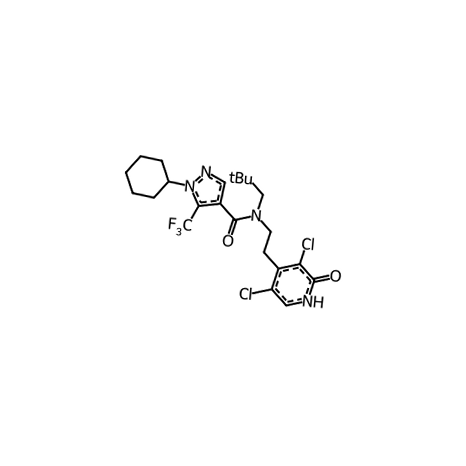 CC(C)(C)CN(CCc1c(Cl)c[nH]c(=O)c1Cl)C(=O)c1cnn(C2CCCCC2)c1C(F)(F)F